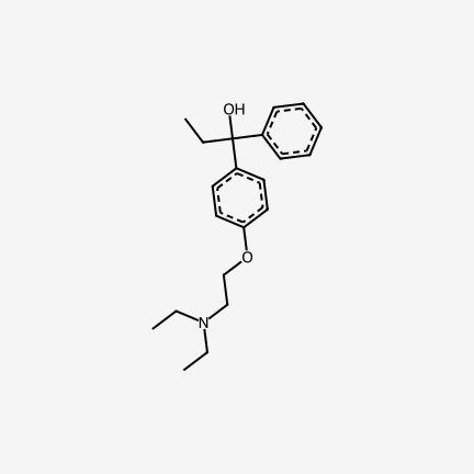 CCN(CC)CCOc1ccc(C(O)(CC)c2ccccc2)cc1